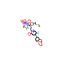 CC(C)(CCn1cc(F)c(-c2ccc3c(c2)CCO3)cc1=O)C(=O)NO